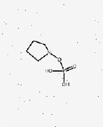 O=P(O)(O)ON1CCCC1